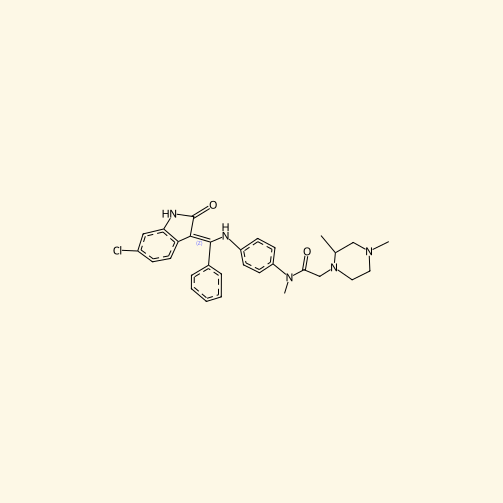 CC1CN(C)CCN1CC(=O)N(C)c1ccc(N/C(=C2\C(=O)Nc3cc(Cl)ccc32)c2ccccc2)cc1